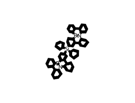 c1ccc([Si](c2ccccc2)(c2ccc3c(c2)-c2ccccc2N2B3c3ccccc3-c3ccccc32)c2ccc3c(c2)-c2ccccc2N2B3c3ccccc3-c3ccccc32)cc1